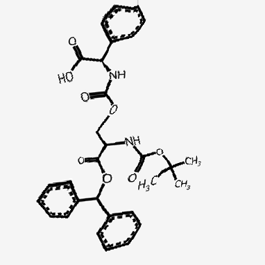 CC(C)(C)OC(=O)NC(COC(=O)N[C@@H](C(=O)O)c1ccccc1)C(=O)OC(c1ccccc1)c1ccccc1